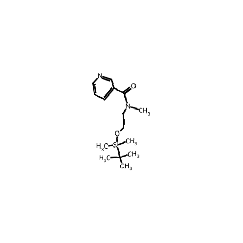 CN(CCO[Si](C)(C)C(C)(C)C)C(=O)c1cccnc1